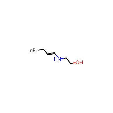 CCCCC=CNCCO